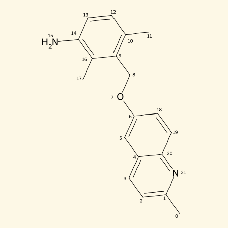 Cc1ccc2cc(OCc3c(C)ccc(N)c3C)ccc2n1